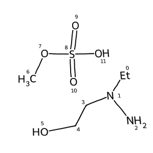 CCN(N)CCO.COS(=O)(=O)O